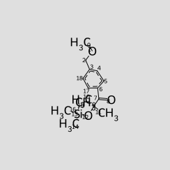 COCc1ccc(C(=O)C(C)(C)O[Si](C)(C)C)cc1